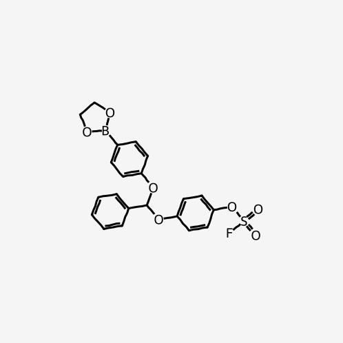 O=S(=O)(F)Oc1ccc(OC(Oc2ccc(B3OCCO3)cc2)c2ccccc2)cc1